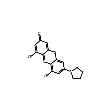 O=c1cc2sc3cc(N4CCCC4)cc(Cl)c3nc-2c(Cl)c1